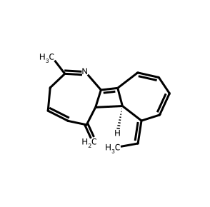 C=C1/C=C\C/C(C)=N\C2=C3C=CC=C/C(=C/C)[C@H]3C12